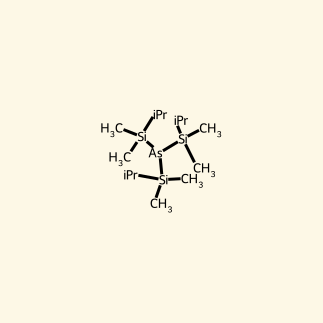 CC(C)[Si](C)(C)[As]([Si](C)(C)C(C)C)[Si](C)(C)C(C)C